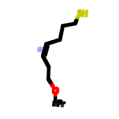 CCCOCC/C=C\CCCS